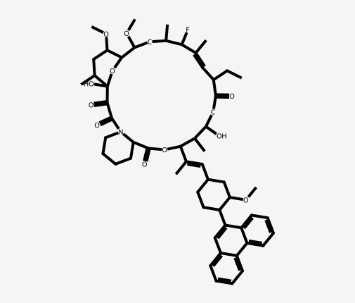 CCC1/C=C(\C)C(F)C(C)CC(OC)C2OC(O)(C(=O)C(=O)N3CCCCC3C(=O)OC(C(C)=CC3CCC(c4cc5ccccc5c5ccccc45)C(OC)C3)C(C)C(O)CC1=O)C(C)CC2OC